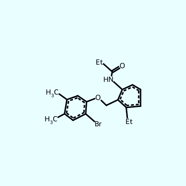 CCC(=O)Nc1cccc(CC)c1COc1cc(C)c(C)cc1Br